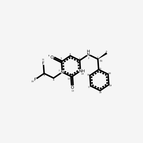 C[C@H](Nc1cc(=O)n(CC(F)F)c(=O)[nH]1)c1ccccc1